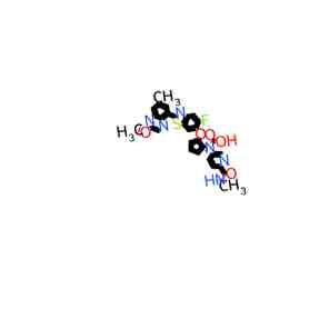 CNC(=O)c1ccc(N(C(=O)O)[C@@H]2CCC[C@@H]2Oc2cc3sc(-c4cc(C)cc5nc(OC)cnc45)nc3cc2F)cn1